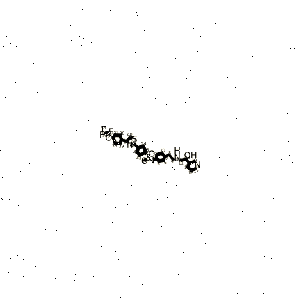 O=S(=O)(Nc1ccc(CCNC[C@H](O)c2cccnc2)cc1)c1ccc(-c2nc(-c3ccc(OC(F)(F)F)cc3)cs2)cc1